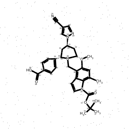 COc1cc(C)c2c(ccn2C(=O)OC(C)(C)C)c1CN1CC[C@H](n2cc(C#N)cn2)C[C@H]1c1ccc(C(=O)O)cc1